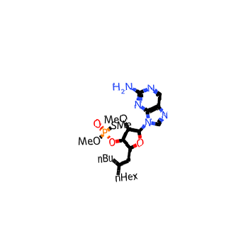 CCCCCCC(CCCC)CC1OC(n2cnc3cnc(N)nc32)C(OC)C1OP(=O)(OC)SC